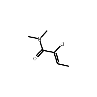 CC=C(Cl)C(=O)N(C)C